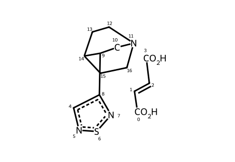 O=C(O)C=CC(=O)O.c1nsnc1C1CN2CCC1CC2